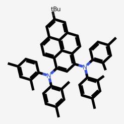 Cc1ccc(N(c2ccc(C)cc2C)c2cc(N(c3ccc(C)cc3C)c3ccc(C)cc3C)c3ccc4cc(C(C)(C)C)cc5ccc2c3c54)c(C)c1